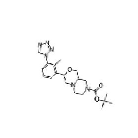 Cc1c(C2CN3CCN(C(=O)OC(C)(C)C)CC3CO2)cccc1-n1cnnn1